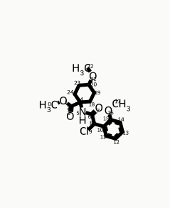 COC(=O)C1(NC(=O)C(Cl)c2ccccc2OC)CCC(OC)CC1